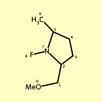 COCC1CCC(C)N1F